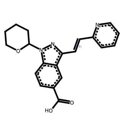 O=C(O)c1ccc2c(c1)c(/C=C/c1ccccn1)nn2C1CCCCO1